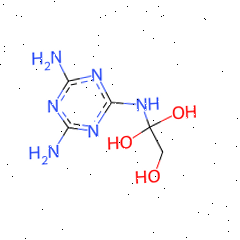 Nc1nc(N)nc(NC(O)(O)CO)n1